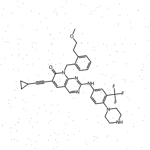 COCCc1ccccc1Cn1c(=O)c(C#CC2CC2)cc2cnc(Nc3ccc(N4CCNCC4)c(C(F)(F)F)c3)nc21